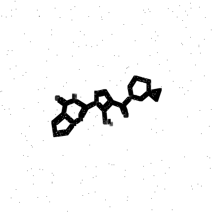 Cc1c(C(=O)N2CCCC3(CC3)C2)cnn1-c1nn2cccc2c(=O)[nH]1